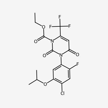 CCOC(=O)n1c(C(F)(F)F)cc(=O)n(-c2cc(OC(C)C)c(Cl)cc2F)c1=O